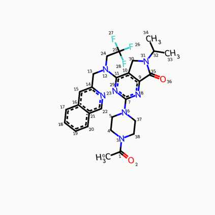 CC(=O)N1CCN(c2nc3c(c(N(Cc4cc5ccccc5cn4)CC(F)(F)F)n2)CN(C(C)C)C3=O)CC1